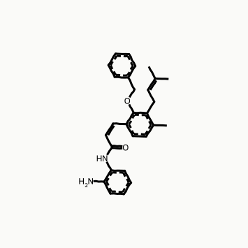 CC(C)=CCc1c(C)ccc(/C=C\C(=O)Nc2ccccc2N)c1OCc1ccccc1